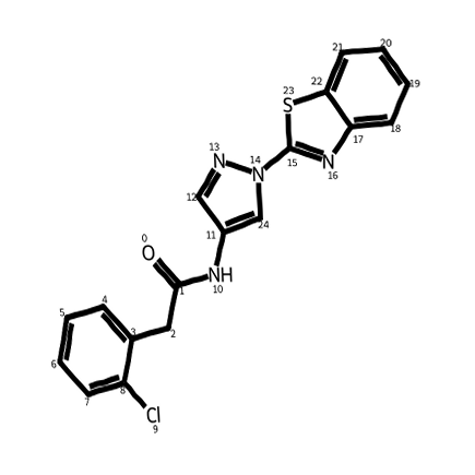 O=C(Cc1ccccc1Cl)Nc1cnn(-c2nc3ccccc3s2)c1